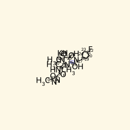 Cc1nnc(C(=O)NC(C)(C)C2=N/C(=C(\O)NCc3ccc(F)cc3)C(=O)C(=O)N2C)o1.[KH]